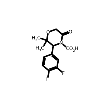 CC1(C)OCC(=O)N(C(=O)O)C1c1ccc(F)c(F)c1